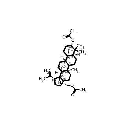 C=C(C)[C@@H]1CC[C@]2(COC(C)=O)CC[C@]3(C)[C@H](CC[C@@H]4[C@@]5(C)CC[C@H](OC(C)=O)C(C)(C)[C@@H]5CC[C@]43C)[C@@H]12